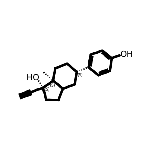 C#C[C@]1(O)CCC2C[C@@H](c3ccc(O)cc3)CC[C@@]21C